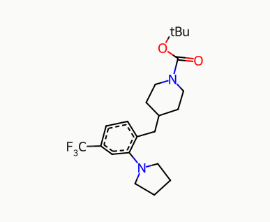 CC(C)(C)OC(=O)N1CCC(Cc2ccc(C(F)(F)F)cc2N2CCCC2)CC1